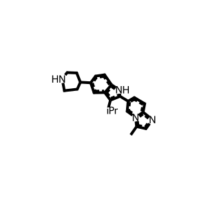 Cc1cnc2ccc(-c3[nH]c4ccc(C5CCNCC5)cc4c3C(C)C)cn12